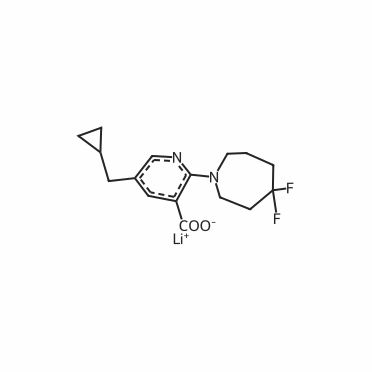 O=C([O-])c1cc(CC2CC2)cnc1N1CCCC(F)(F)CC1.[Li+]